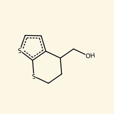 OCC1CCSc2sccc21